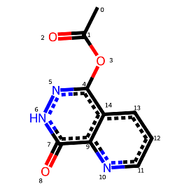 CC(=O)Oc1n[nH]c(=O)c2ncccc12